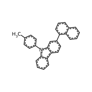 Cc1ccc(-n2c3ccccc3c3ccc(-c4cccc5ccccc45)cc32)cc1